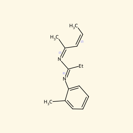 C\C=C/C(C)=N\C(CC)=N\c1ccccc1C